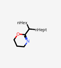 CCCCCCCC(CCCCCC)C1=NCCCO1